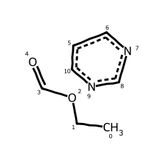 CCOC=O.c1cncnc1